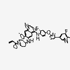 C=CC(=O)N1CCC(Nc2cc3c(Nc4ccc(Oc5nc(-c6cnc(C)c(F)c6)cs5)cc4F)ncnc3cc2OC)CC1